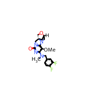 COc1c(N(C)Cc2ccc(F)c(F)c2)nc(=O)n2c1N1C[C@@H]3C[C@]1(CO3)C2